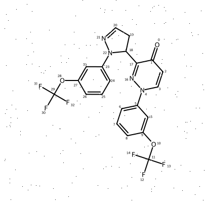 O=c1ccn(-c2cccc(OC(F)(F)F)c2)nc1C1CC=NN1c1cccc(OC(F)(F)F)c1